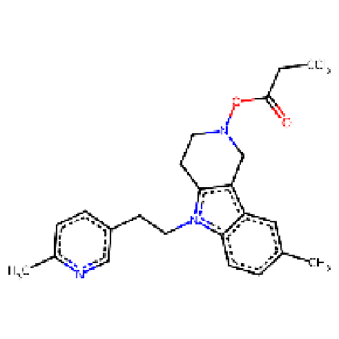 Cc1ccc2c(c1)c1c(n2CCc2ccc(C)nc2)CCN(OC(=O)CC(Cl)(Cl)Cl)C1